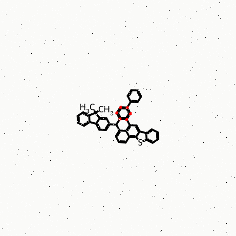 CC1(C)c2ccccc2-c2ccc(C(c3ccc(-c4ccccc4)cc3)c3cccc4c3c(-c3ccccc3)cc3c5ccccc5sc43)cc21